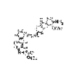 COc1cc(C(=O)N2CCC3(CC2)C[C@@H]3C#Cc2cccc3c2CN([C@@H](CCC(=O)OC(C)(C)C)C(N)=O)C3=O)ccc1N